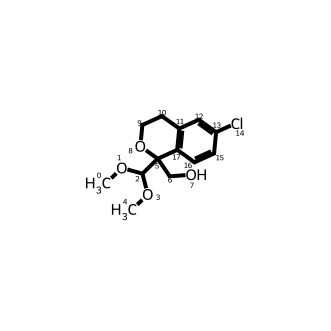 COC(OC)C1(CO)OCCc2cc(Cl)ccc21